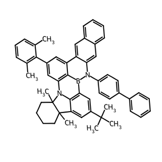 Cc1cccc(C)c1-c1cc2c3c(c1)N1c4c(cc(C(C)(C)C)cc4C4(C)CCCCC14C)B3N(c1ccc(-c3ccccc3)cc1)c1cc3ccccc3cc1-2